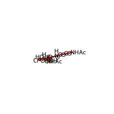 CC(=O)NCCOCCOCCOCCOCCC(=O)NCCCCCO[C@]1(C(=O)O)C[C@H](O)[C@@H](NC(C)=O)[C@H]([C@H](O)[C@H](O)CNC(=O)Cc2ccc(Cl)cc2)O1